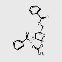 CC(=O)O[C@H]1O[C@H](COC(=O)c2ccccc2)C[C@H]1OC(=O)c1ccccc1